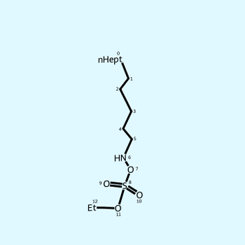 CCCCCCCCCCCCNOS(=O)(=O)OCC